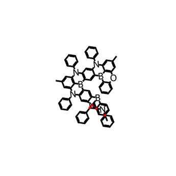 Cc1cc2c3c(c1)N(c1ccccc1)c1cc4c(cc1B3c1ccccc1O2)B1c2cc3c(cc2N(c2ccccc2)c2cc(C)cc(c21)N4c1ccccc1)N(c1ccccc1)c1cc(C)cc2c1B3c1ccccc1N2c1ccccc1